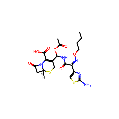 CCCCON=C(C(=O)NC(OC(C)=O)C1=C(C(=O)O)N2C(=O)C[C@H]2SC1)c1csc(N)n1